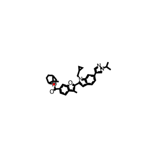 Cc1c(-c2cc3ccc(-c4cnn(C(C)C)c4)cc3n2CC2CC2)oc2cc(C(=O)N3CC4CCC3[C@@H]4C)ccc12